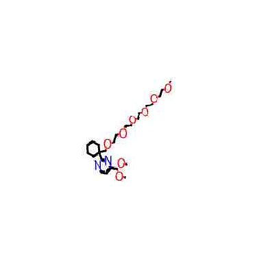 COCCOCCOCCOCCOCCOCC1(c2nccc(C(OC)OC)n2)CCCCC1